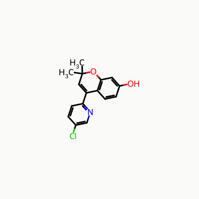 CC1(C)C=C(c2ccc(Cl)cn2)c2ccc(O)cc2O1